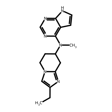 CCc1cn2c(n1)CC(N(C)c1ncnc3[nH]ccc13)CC2